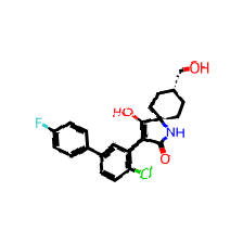 O=C1N[C@]2(CC[C@@H](CO)CC2)C(O)=C1c1cc(-c2ccc(F)cc2)ccc1Cl